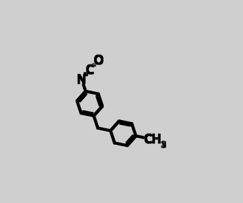 CC1=CCC(Cc2ccc(N=C=O)cc2)C=C1